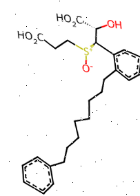 O=C(O)CC[S+]([O-])[C@H](c1ccccc1CCCCCCCCc1ccccc1)[C@@H](O)C(=O)O